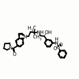 CC(C)(CCn1ccc2cc(C(=O)N3CCCC3)ccc21)NC[C@H](O)c1cccc(NS(=O)(=O)c2ccccc2)c1